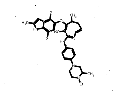 CCN1CCN(c2ccc(NC3=N/C=C/CC(C)/C(Oc4cc(F)c5[nH]c(C)cc5c4F)=C\3C#N)cc2)CC1C